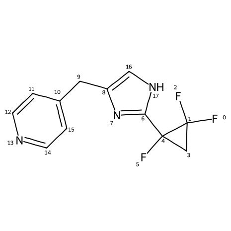 FC1(F)CC1(F)c1nc(Cc2ccncc2)c[nH]1